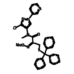 CON=C(CSC(c1ccccc1)(c1ccccc1)c1ccccc1)C(=O)N(C)c1cn(-c2cccnc2)nc1Cl